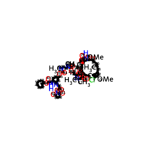 COc1cc2cc(c1Cl)CC(=O)C[C@H](OC(=O)[C@H](C)N(C)C(=O)CCOC(=O)N(C)CCN(C)C(=O)OCc1ccc(NC(=O)OC3/C=C/CCCCC3)c(NCC(=O)ON3C(=O)CCC3=O)c1)[C@]1(C)O[C@H]1[C@H](C)[C@@H]1C[C@@](O)(NC(=O)O1)[C@H](OC)/C=C/C=C(\C)C2